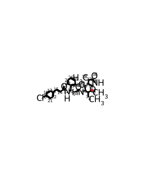 CCC(CC)C(NC(=O)C[C@H](NC(=O)/C=C/c1ccc(Cl)cc1)c1ccccc1)C(=O)[C@@H]1C(=O)NC(=O)[C@H]1C